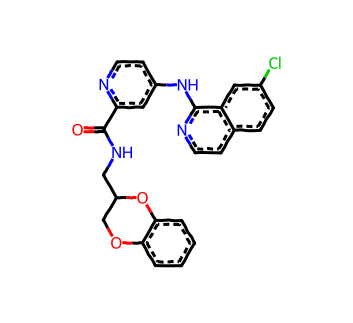 O=C(NCC1COc2ccccc2O1)c1cc(Nc2nccc3ccc(Cl)cc23)ccn1